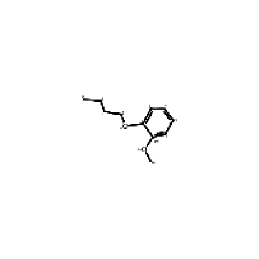 CCC[CH]Oc1ccccc1OC